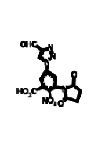 O=Cc1cn(-c2cc(C(=O)O)c([N+](=O)[O-])c(N3C(=O)CCC3=O)c2)nn1